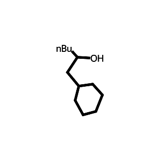 CCCCC(O)CC1CCCCC1